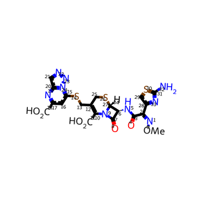 CO/N=C(\C(=O)N[C@@H]1C(=O)N2C(C(=O)O)=C(CSc3cc(C(=O)O)nc4cnnn34)CS[C@H]12)c1csc(N)n1